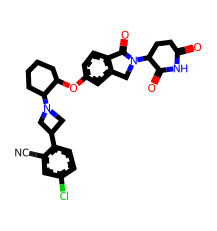 N#Cc1cc(Cl)ccc1C1CN(C2CCCCC2Oc2ccc3c(c2)CN(C2CCC(=O)NC2=O)C3=O)C1